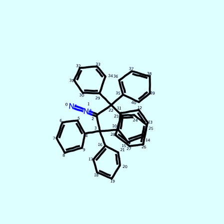 [N-]=[N+]=C(C(c1ccccc1)(c1ccccc1)c1ccccc1)C(c1ccccc1)(c1ccccc1)c1ccccc1